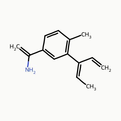 C=C/C(=C\C)c1cc(C(=C)N)ccc1C